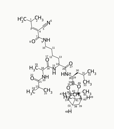 CC(C)C=C(C#N)C(=O)NCCCCC(NC(=O)C(C)NC(=O)C(C)C)C(=O)N[C@@H](CC(C)C)B1O[C@@H]2C[C@@H]3C[C@@H](C3(C)C)[C@]2(C)O1